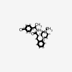 CC(NC(=O)CCc1ccccc1N1CCN(C)CC1)c1ccc(Cl)cc1